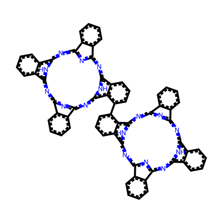 c1ccc2c(c1)-c1nc-2nc2[nH]c(nc3nc(nc4[nH]c(n1)c1ccccc41)-c1ccccc1-3)c1c(-c3cccc4c5nc6nc(nc7[nH]c(nc8nc(nc([nH]5)c34)-c3ccccc3-8)c3ccccc73)-c3ccccc3-6)cccc21